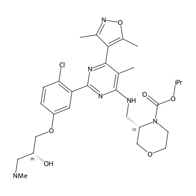 CNC[C@@H](O)COc1ccc(Cl)c(-c2nc(NC[C@H]3COCCN3C(=O)OC(C)C)c(C)c(-c3c(C)noc3C)n2)c1